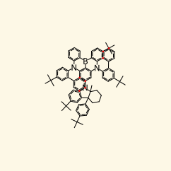 CC(C)(C)c1ccc(C23CCCCC2(C)N(c2cc4c5c(c2)N(c2ccc(C(C)(C)C)cc2-c2ccccc2)c2cc(C(C)(C)C)ccc2B5c2ccccc2N4c2ccc(C(C)(C)C)cc2-c2ccccc2)c2ccc(C(C)(C)C)cc23)cc1